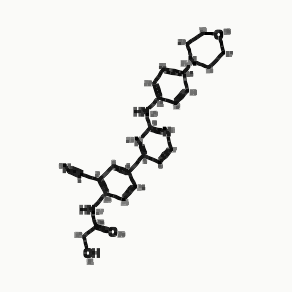 N#Cc1cc(-c2ccnc(Nc3ccc(N4CCOCC4)cc3)n2)ccc1NC(=O)CO